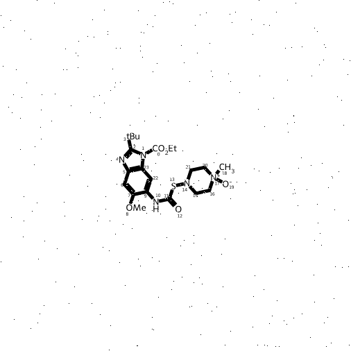 CCOC(=O)n1c(C(C)(C)C)nc2cc(OC)c(NC(=O)SN3CC[N+](C)([O-])CC3)cc21